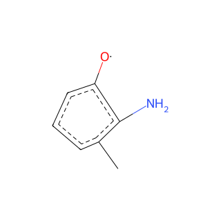 Cc1cccc([O])c1N